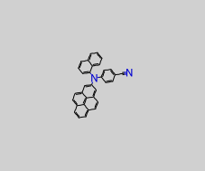 N#Cc1ccc(N(c2cc3ccc4cccc5ccc(c2)c3c45)c2cccc3ccccc23)cc1